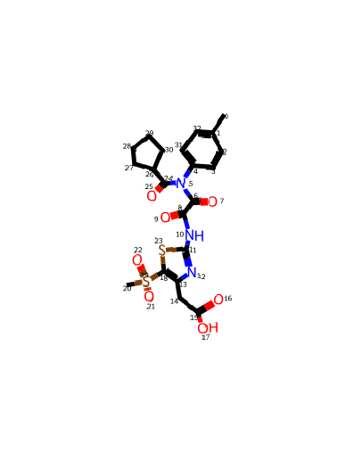 Cc1ccc(N(C(=O)C(=O)Nc2nc(CC(=O)O)c(S(C)(=O)=O)s2)C(=O)C2CCCC2)cc1